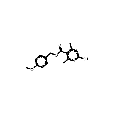 COc1ccc(COC(=O)c2c(C)nc(S)nc2C)cc1